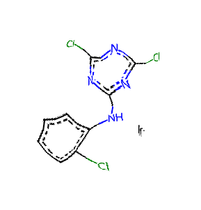 Clc1nc(Cl)nc(Nc2ccccc2Cl)n1.[Ir]